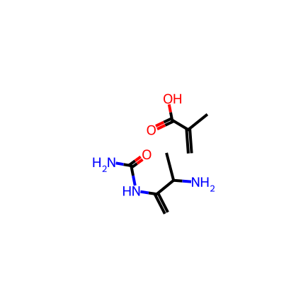 C=C(C)C(=O)O.C=C(NC(N)=O)C(C)N